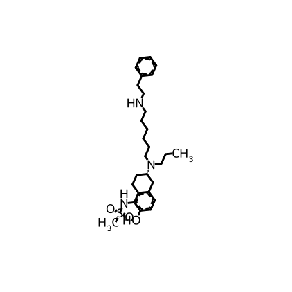 CCCN(CCCCCCNCCc1ccccc1)[C@H]1CCc2c(ccc(O)c2NS(C)(=O)=O)C1